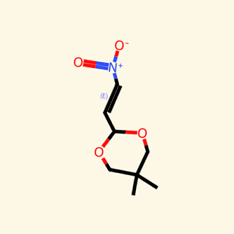 CC1(C)COC(/C=C/[N+](=O)[O-])OC1